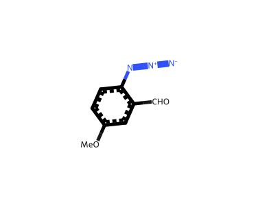 COc1ccc(N=[N+]=[N-])c(C=O)c1